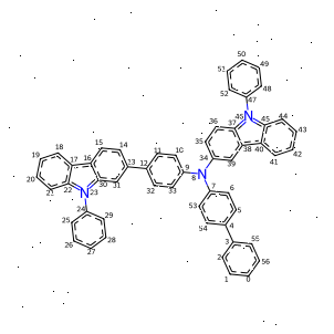 c1ccc(-c2ccc(N(c3ccc(-c4ccc5c6ccccc6n(-c6ccccc6)c5c4)cc3)c3ccc4c(c3)c3ccccc3n4-c3ccccc3)cc2)cc1